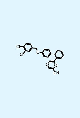 N#CC1=COC=C(C2=CC=CC[C@H]2c2ccc(OCc3ccc(Cl)c(Cl)c3)cc2)O1